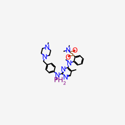 Cc1cnc(N(P)c2ccc(CN3CCN(C)CC3)cc2)nc1N(C)c1ccccc1S(=O)(=O)N(C)C